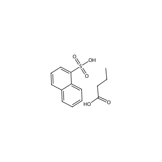 CCCC(=O)O.O=S(=O)(O)c1cccc2ccccc12